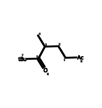 [CH2]C(=O)CCC(C)C(=O)C(C)(C)C